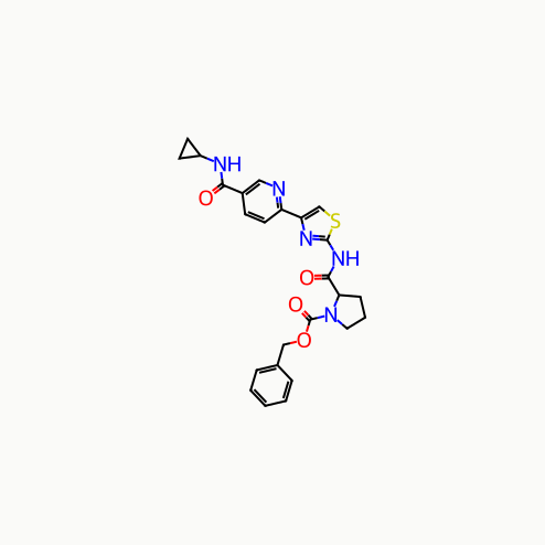 O=C(NC1CC1)c1ccc(-c2csc(NC(=O)C3CCCN3C(=O)OCc3ccccc3)n2)nc1